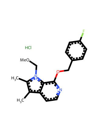 COCn1c(C)c(C)c2ccnc(OCc3ccc(F)cc3)c21.Cl